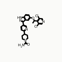 CC(Oc1ccc2[nH]nc(-c3ccc(C4CCN(C(N)=O)CC4)nc3)c2c1)c1c(Cl)cncc1Cl